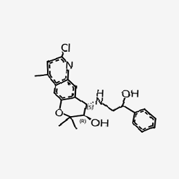 Cc1cc(Cl)nc2cc3c(cc12)OC(C)(C)[C@H](O)[C@H]3NCC(O)c1ccccc1